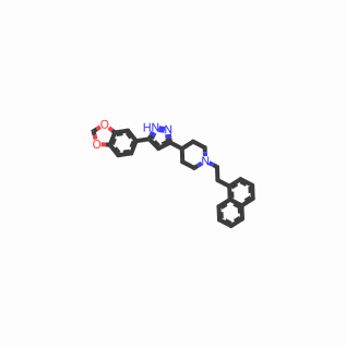 c1ccc2c(CCN3CCC(c4cc(-c5ccc6c(c5)OCO6)[nH]n4)CC3)cccc2c1